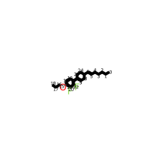 CCCCC/C=C/C1CC=C(c2ccc(OCCC)c(F)c2F)CC1